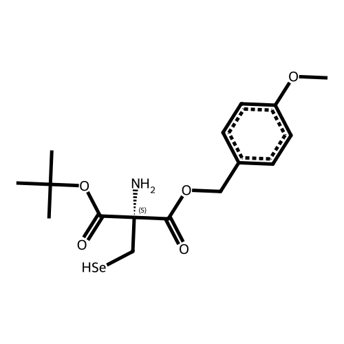 COc1ccc(COC(=O)[C@@](N)(C[SeH])C(=O)OC(C)(C)C)cc1